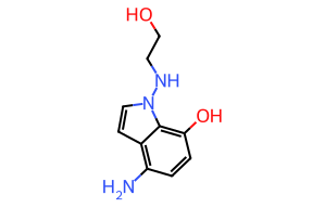 Nc1ccc(O)c2c1ccn2NCCO